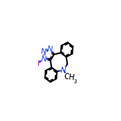 CN1Cc2ccccc2-c2nnn(I)c2-c2ccccc21